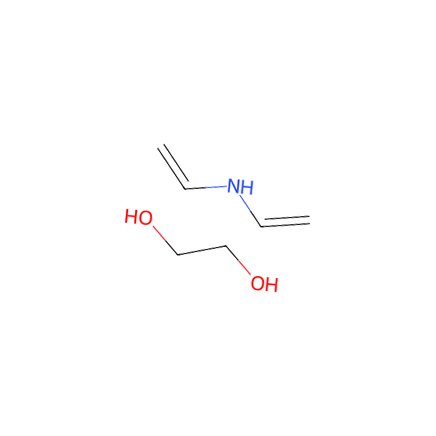 C=CNC=C.OCCO